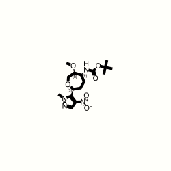 CO[C@H]1CO[C@H](c2c([N+](=O)[O-])cnn2C)CC[C@H]1NC(=O)OC(C)(C)C